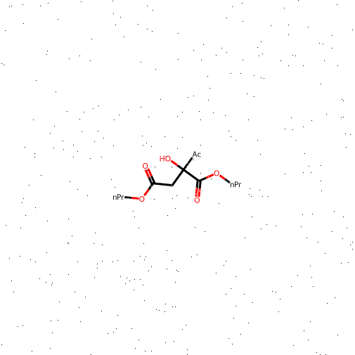 CCCOC(=O)CC(O)(C(C)=O)C(=O)OCCC